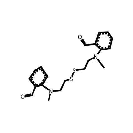 CN(CCSSCCN(C)c1ccccc1C=O)c1ccccc1C=O